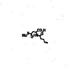 C=CCCC(=O)N[C@@H](CC(=O)SC(C)(C)C)C(=O)O